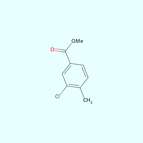 COC(=O)c1ccc(C)c(Cl)c1